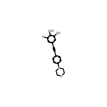 O=Cc1c(O)cc(C#Cc2ccc(N3CCOCC3)cc2)cc1F